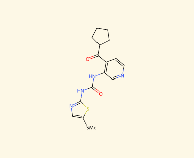 CSc1cnc(NC(=O)Nc2cnccc2C(=O)C2CCCC2)s1